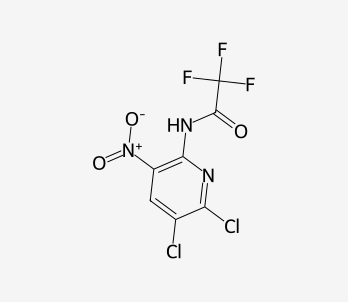 O=C(Nc1nc(Cl)c(Cl)cc1[N+](=O)[O-])C(F)(F)F